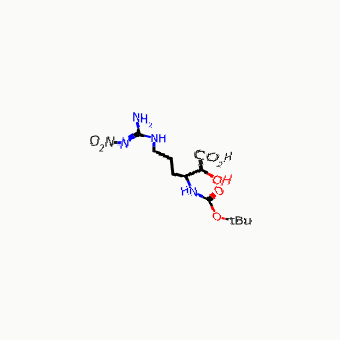 CC(C)(C)OC(=O)NC(CCCNC(N)=N[N+](=O)[O-])C(O)C(=O)O